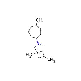 CC1CCCC(N2CC3C(C)CC3(C)C2)CC1